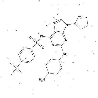 CC(C)(C)c1ccc(S(=O)(=O)Nc2nc(NC3CCC(N)CC3)nc3c2ncn3C2CCCC2)cc1